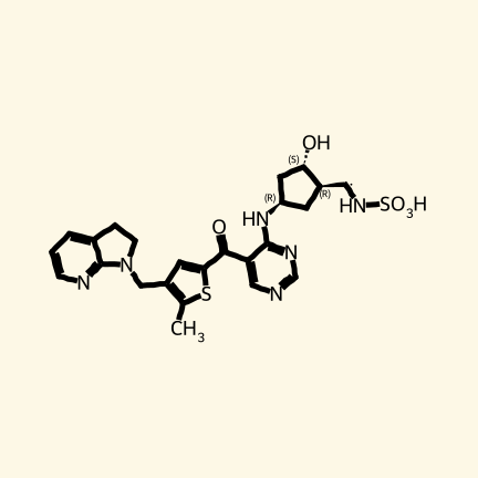 Cc1sc(C(=O)c2cncnc2N[C@H]2C[C@H](O)[C@@H]([CH]NS(=O)(=O)O)C2)cc1CN1CCc2cccnc21